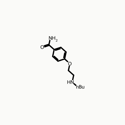 CCCCNCCOc1ccc(C(N)=O)cc1